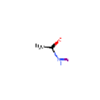 CC(=O)NI